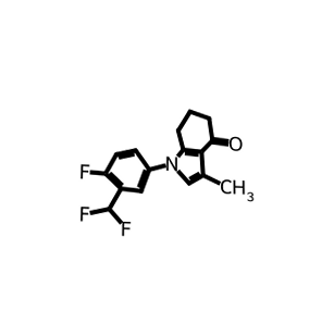 Cc1cn(-c2ccc(F)c(C(F)F)c2)c2c1C(=O)CCC2